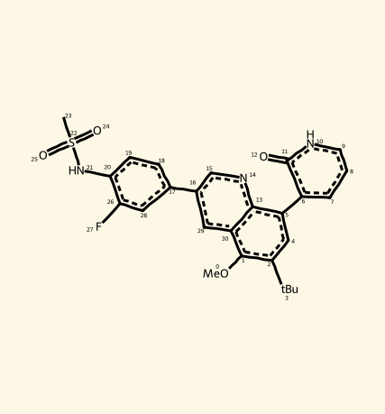 COc1c(C(C)(C)C)cc(-c2ccc[nH]c2=O)c2ncc(-c3ccc(NS(C)(=O)=O)c(F)c3)cc12